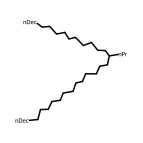 [CH2]CCC(CCCCCCCCCCCCCCCCCCCC)CCCCCCCCCCCCCCCCCCCCCCC